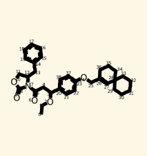 CCOC(CC(=O)N1C(=O)OCC1Cc1ccccc1)c1ccc(OCC2=CC3(CCCCC3)CCC2)cc1